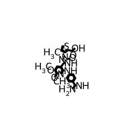 COc1cc(-c2nn(-c3c(C)csc3C(=O)O)c(=O)[nH]2)c(Nc2ccc(C(=N)N)cc2)nc1OC